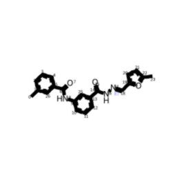 Cc1cccc(C(=O)Nc2cccc(C(=O)N/N=C/c3ccc(C)o3)c2)c1